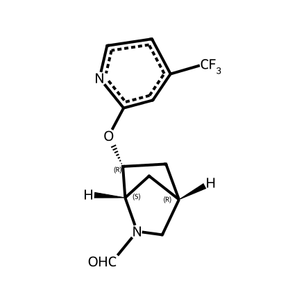 O=CN1C[C@H]2C[C@@H](Oc3cc(C(F)(F)F)ccn3)[C@@H]1C2